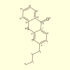 CCCCc1ccc2c(=O)c3ccccc3sc2c1